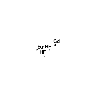 F.F.[Eu].[Gd]